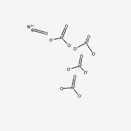 O=[N+]([O-])[O-].O=[N+]([O-])[O-].O=[N+]([O-])[O-].O=[N+]([O-])[O-].[Bi+3].[O]=[Bi+]